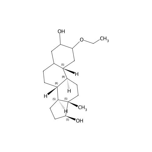 CCOC1C[C@H]2C(CC[C@@H]3[C@@H]2CC[C@]2(C)[C@@H](O)CC[C@@H]32)CC1O